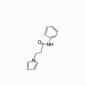 O=C(CCn1cccc1)Nc1ccccc1